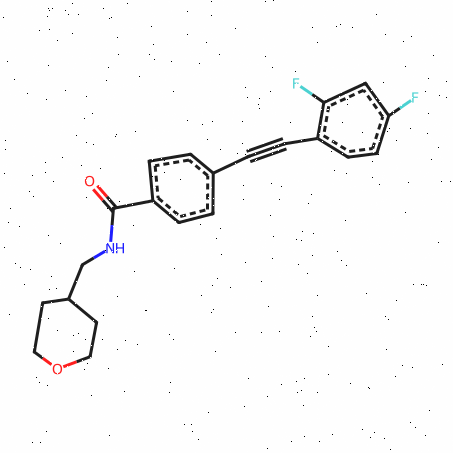 O=C(NCC1CCOCC1)c1ccc(C#Cc2ccc(F)cc2F)cc1